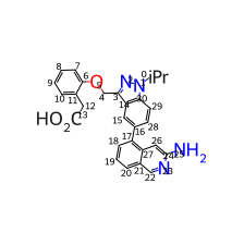 CC(C)n1nc(COc2ccccc2CC(=O)O)c2cc(-c3cccc4cnc(N)cc34)ccc21